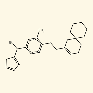 CCC(C1=NC=CC1)c1ccc(CCC2=CCCC3(CCCCC3)C2)c(C)c1